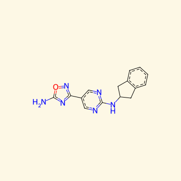 Nc1nc(-c2cnc(NC3Cc4ccccc4C3)nc2)no1